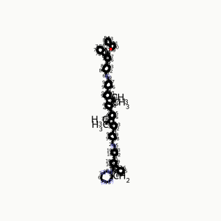 C=C1/C=C\C=C/C/C=C\C=C/1n1c2ccccc2c2cc(-c3ccc(/C=C/c4ccc(-c5ccc6c(c5)C(C)(C)c5cc(-c7ccc8c(c7)C(C)(C)c7cc(-c9ccc(/C=C/c%10ccc(-c%11ccc%12c(c%11)c%11ccccc%11n%12-c%11cccc%12ccccc%11%12)cc%10)cc9)ccc7-8)ccc5-6)cc4)cc3)ccc21